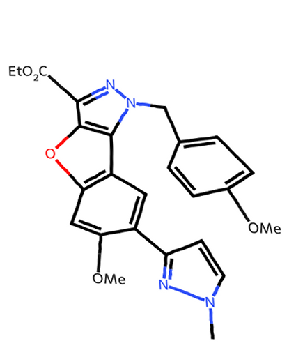 CCOC(=O)c1nn(Cc2ccc(OC)cc2)c2c1oc1cc(OC)c(-c3ccn(C)n3)cc12